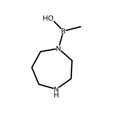 CB(O)N1CCCNCC1